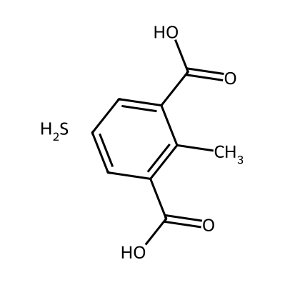 Cc1c(C(=O)O)cccc1C(=O)O.S